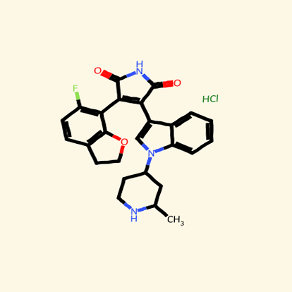 CC1CC(n2cc(C3=C(c4c(F)ccc5c4OCC5)C(=O)NC3=O)c3ccccc32)CCN1.Cl